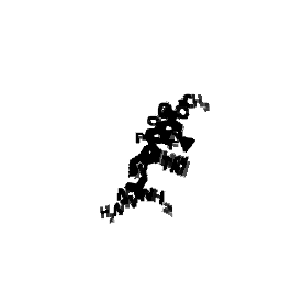 CCOC(=O)c1cn(C2CC2)c2c(F)c(-c3ccc4c(c3)CCN4Cc3cnc(N)nc3N)c(F)cc2c1=O.Cl.Cl